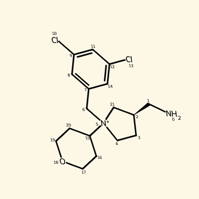 NC[C@H]1CC[N+](Cc2cc(Cl)cc(Cl)c2)(C2CCOCC2)C1